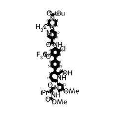 COC(=O)N[C@H](C(=O)N1C[C@@H](OC)C[C@H]1C1=C=CCC(c2ccc(-c3cc(Cl)c(NC(=O)c4ccc(N5CCN(C(=O)C(C)(C)C)C[C@H]5C)nc4)cc3OC(F)(F)F)cc2)=C(CO)N1)C(C)C